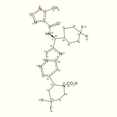 Cc1nonc1C(=O)N[C@H](c1cn2ncc(C3CC(F)(F)CCN3C(=O)O)cc2n1)C1CCC(F)(F)CC1